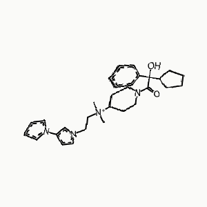 C[N+](C)(CCn1ccc(-n2cccc2)c1)C1CCN(C(=O)C(O)(c2ccccc2)C2CCCC2)CC1